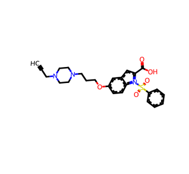 C#CCN1CCN(CCCOc2ccc3c(c2)cc(C(=O)O)n3S(=O)(=O)c2ccccc2)CC1